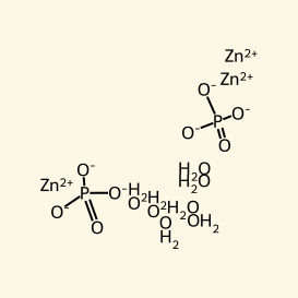 O.O.O.O.O.O.O.O=P([O-])([O-])[O-].O=P([O-])([O-])[O-].[Zn+2].[Zn+2].[Zn+2]